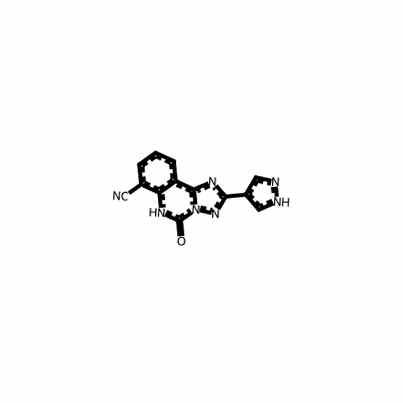 N#Cc1cccc2c1[nH]c(=O)n1nc(-c3cn[nH]c3)nc21